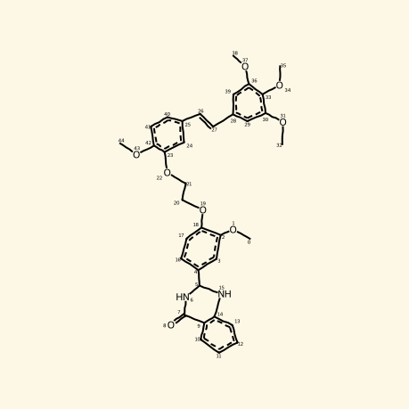 COc1cc(C2NC(=O)c3ccccc3N2)ccc1OCCOc1cc(C=Cc2cc(OC)c(OC)c(OC)c2)ccc1OC